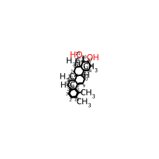 Cc1ccc2c(c1C)C1=CC[C@@H]3[C@@]4(C)CC[C@@H](O)[C@](C)(CO)[C@H]4CC[C@@]3(C)[C@]1(C)CC2